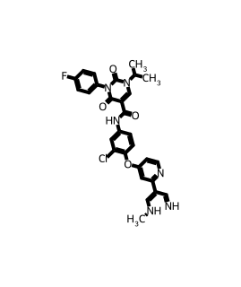 CN/C=C(\C=N)c1cc(Oc2ccc(NC(=O)c3cn(C(C)C)c(=O)n(-c4ccc(F)cc4)c3=O)cc2Cl)ccn1